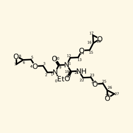 CCN(CCOCC1CO1)C(=O)N(CCOCC1CO1)C(=O)NCCOCC1CO1